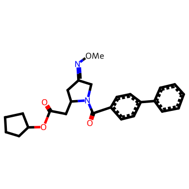 CO/N=C1/CC(CC(=O)OC2CCCC2)N(C(=O)c2ccc(-c3ccccc3)cc2)C1